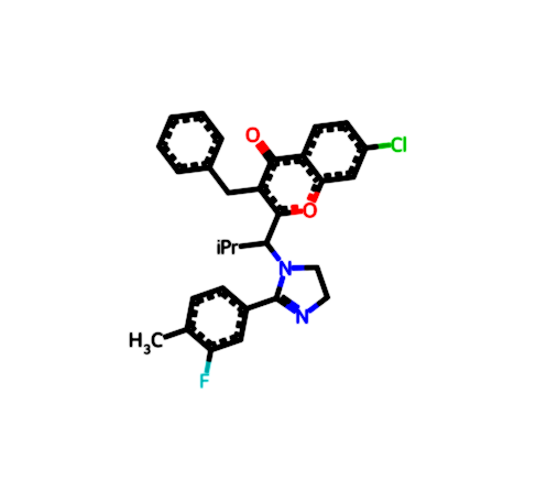 Cc1ccc(C2=NCCN2C(c2oc3cc(Cl)ccc3c(=O)c2Cc2ccccc2)C(C)C)cc1F